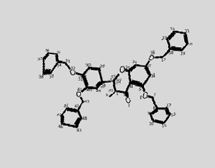 C[C@@H]1C(=O)c2c(OCc3ccccc3)cc(OCc3ccccc3)cc2O[C@@H]1c1ccc(OCc2ccccc2)c(OCc2ccccc2)c1